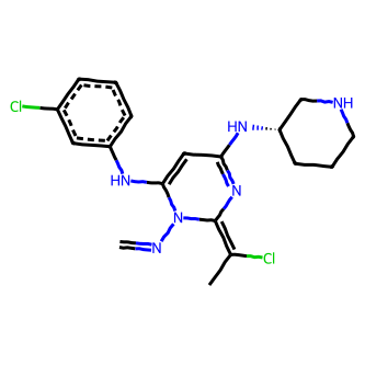 C=NN1C(Nc2cccc(Cl)c2)=CC(N[C@H]2CCCNC2)=N/C1=C(/C)Cl